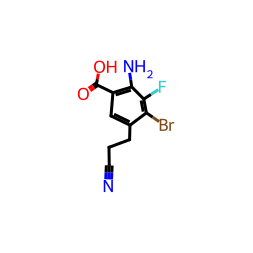 N#CCCc1cc(C(=O)O)c(N)c(F)c1Br